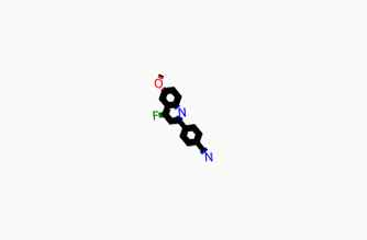 COc1ccc2nc(-c3ccc(C#N)cc3)cc(F)c2c1